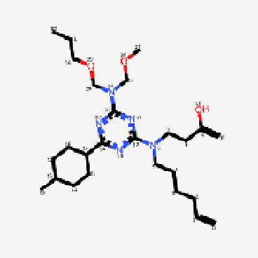 C=CCCCCN(CCC(=C)O)c1nc(C2CCC(C)CC2)nc(N(COC)COCCC)n1